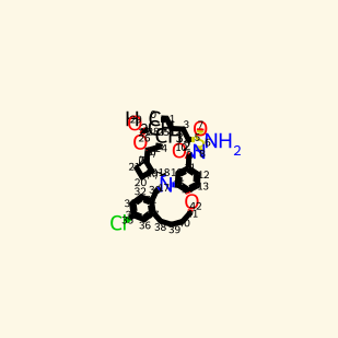 C=CCCCS(N)(=O)=NC(=O)c1ccc2c(c1)N(C[C@@H]1CC[C@H]1[C@H](C=C)OC(C)=O)Cc1ccc(Cl)cc1CCCCO2